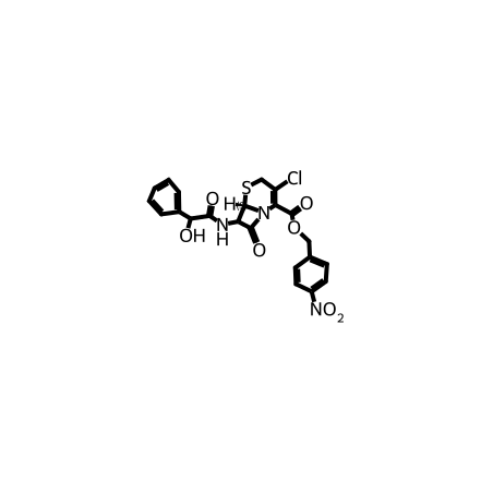 O=C(OCc1ccc([N+](=O)[O-])cc1)C1=C(Cl)CS[C@H]2C(NC(=O)C(O)c3ccccc3)C(=O)N12